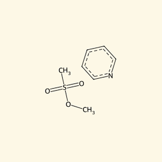 COS(C)(=O)=O.c1ccncc1